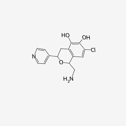 NCC1OC(c2ccncc2)Cc2c1cc(Cl)c(O)c2O